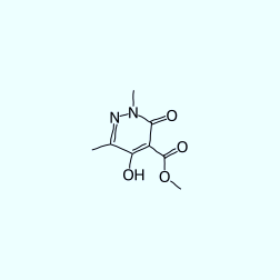 COC(=O)c1c(O)c(C)nn(C)c1=O